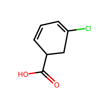 O=C(O)C1C=CC=C(Cl)C1